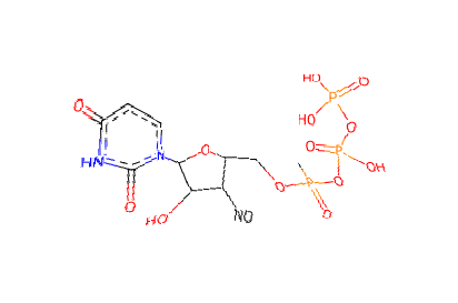 CP(=O)(OCC1OC(n2ccc(=O)[nH]c2=O)C(O)C1N=O)OP(=O)(O)OP(=O)(O)O